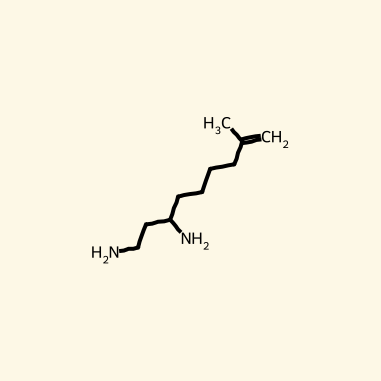 C=C(C)CCCCC(N)CCN